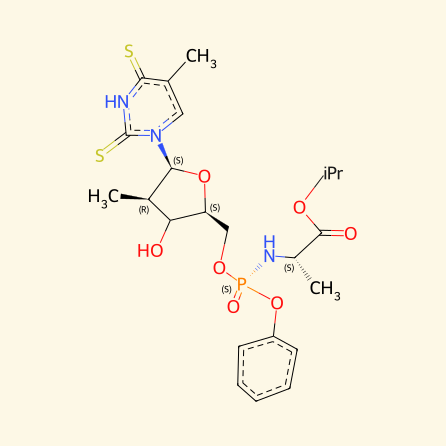 Cc1cn([C@H]2O[C@@H](CO[P@@](=O)(N[C@@H](C)C(=O)OC(C)C)Oc3ccccc3)C(O)[C@H]2C)c(=S)[nH]c1=S